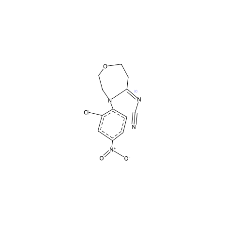 N#C/N=C1/CCOCCN1c1ccc([N+](=O)[O-])cc1Cl